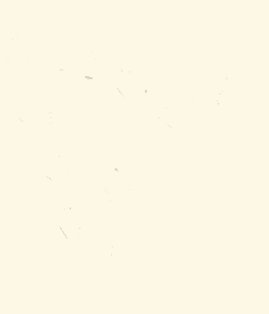 Cc1ccccc1[S+](c1ccc(Cc2ccc([I+]c3ccc(Cc4ccc([S+](c5ccccc5C)c5ccccc5C)cc4)cc3)cc2)cc1)c1ccccc1C.O=S(=O)([O-])C(F)(F)F.O=S(=O)([O-])C(F)(F)F.O=S(=O)([O-])C(F)(F)F